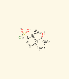 COC(=O)c1c(OC)ccc(S(=O)(=O)Cl)c1OC